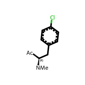 CN[C@H](Cc1ccc(Cl)cc1)C(C)=O